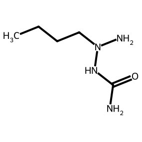 CCCCN(N)NC(N)=O